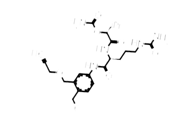 C#CCOCc1cc(NC(=O)[C@H](CCCNC(N)=O)NC(=O)[C@@H](OC(N)=O)C(C)C)ccc1CCl